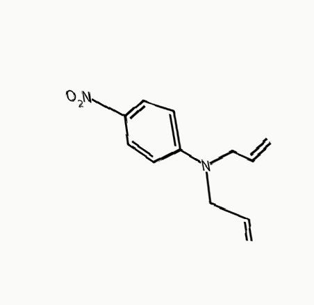 C=CCN(CC=C)c1ccc([N+](=O)[O-])cc1